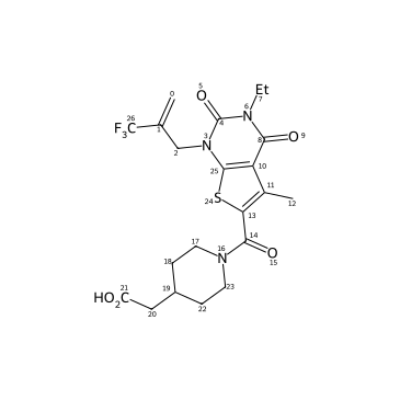 C=C(Cn1c(=O)n(CC)c(=O)c2c(C)c(C(=O)N3CCC(CC(=O)O)CC3)sc21)C(F)(F)F